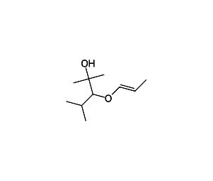 C/C=C/OC(C(C)C)C(C)(C)O